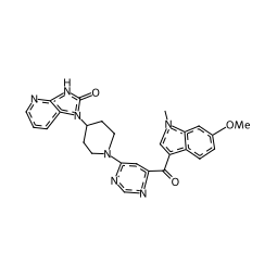 COc1ccc2c(C(=O)c3cc(N4CCC(n5c(=O)[nH]c6ncccc65)CC4)ncn3)cn(C)c2c1